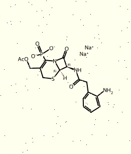 CC(=O)OCC1=C(P(=O)([O-])[O-])N2C(=O)[C@@H](NC(=O)Cc3ccccc3N)[C@H]2SC1.[Na+].[Na+]